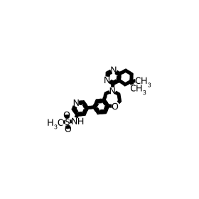 CC1(C)CCc2ncnc(N3CCOc4ccc(-c5cncc(NS(C)(=O)=O)c5)cc4C3)c2C1